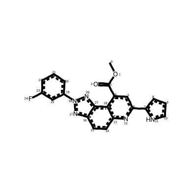 COC(=O)c1cc(-c2ccc[nH]2)nc2ccc3nn(-c4cccc(F)c4)nc3c12